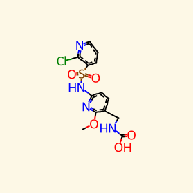 COc1nc(NS(=O)(=O)c2cccnc2Cl)ccc1CNC(=O)O